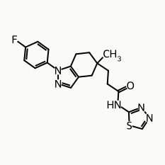 CC1(CCC(=O)Nc2nncs2)CCc2c(cnn2-c2ccc(F)cc2)C1